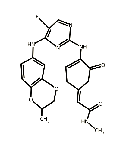 CNC(=O)C=C1CC=C(Nc2ncc(F)c(Nc3ccc4c(c3)OCC(C)O4)n2)C(=O)C1